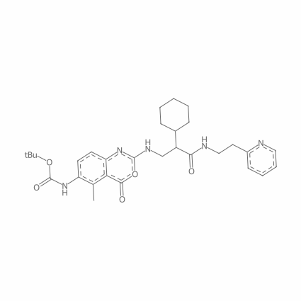 Cc1c(NC(=O)OC(C)(C)C)ccc2nc(NCC(C(=O)NCCc3ccccn3)C3CCCCC3)oc(=O)c12